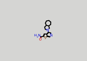 NC(=O)c1cc2c(N3CCC4CCCCCC4C3)cncc2s1